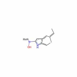 C\C=C(C)/C=c1/cc(N(O)NC)[nH]/c1=C/C